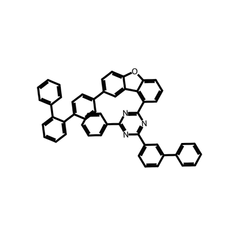 c1ccc(-c2cccc(-c3nc(-c4ccccc4)nc(-c4cccc5oc6ccc(-c7ccc(-c8ccccc8-c8ccccc8)cc7)cc6c45)n3)c2)cc1